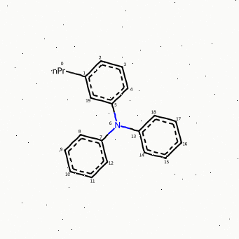 CC[CH]c1cccc(N(c2ccccc2)c2ccccc2)c1